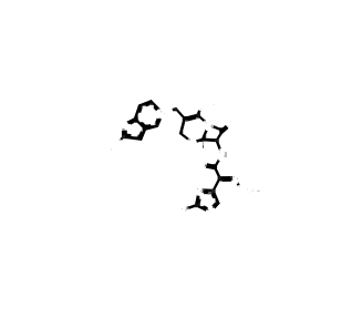 CON=C(C(=O)NC1C(=O)N2C(C(=O)[O-])=C(C[n+]3ccc4sc(C)cc4c3)CS[C@@H]12)c1csc(N)n1